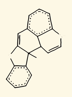 CC12C(=Cc3cccc4c3C1C=CN4)Sc1ccccc12